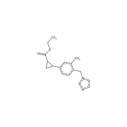 CCOC(=O)C1CC1c1ccc(Cn2ccnc2)c(C)c1